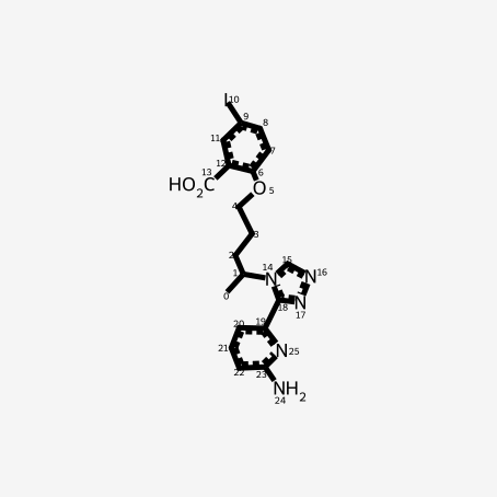 CC(CCCOc1ccc(I)cc1C(=O)O)n1cnnc1-c1cccc(N)n1